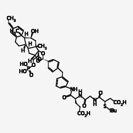 C/C=C1\C=C[C@@]2(C)C(=C1)CC[C@@H]1[C@@H]2[C@@H](O)C[C@@]2(C)[C@H]1C[C@H]1O[C@@H](c3ccc(Cc4cccc(NC(=O)[C@H](CCC(=O)O)NC(=O)CNC(=O)C(CC(=O)O)SC(C)CC)c4)cc3)O[C@]12C(=O)COP(=O)(O)O